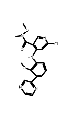 COc1c(Nc2cc(Cl)ncc2C(=O)N(C)OC)cccc1-c1cnccn1